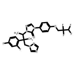 CC(n1ncn(-c2ccc(OCC(F)(F)C(F)F)cc2)c1=O)C(C)(Cn1cncn1)c1ccc(F)cc1F